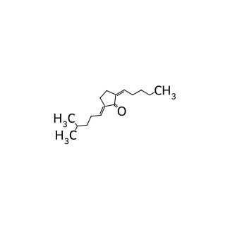 CCCCC=C1CCC(=CCCC(C)C)C1=O